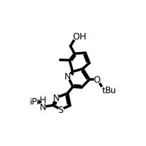 Cc1c(CO)ccc2c(OC(C)(C)C)cc(-c3csc(NC(C)C)n3)nc12